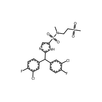 CN(CCS(C)(=O)=O)S(=O)(=O)c1cnc(C(c2ccc(F)c(Cl)c2)c2ccc(F)c(Cl)c2)[nH]1